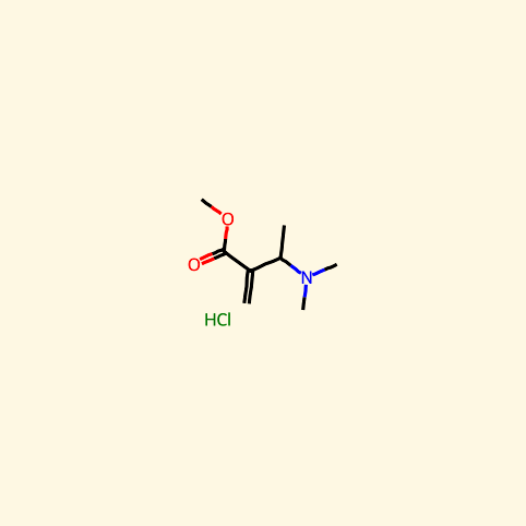 C=C(C(=O)OC)C(C)N(C)C.Cl